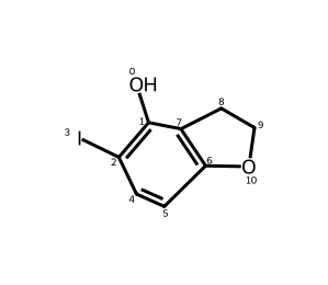 Oc1c(I)ccc2c1CCO2